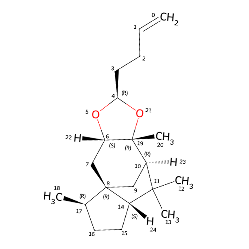 C=CCC[C@@H]1O[C@H]2C[C@@]34C[C@H](C(C)(C)[C@@H]3CC[C@H]4C)[C@@]2(C)O1